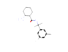 Cc1cc(C(F)(F)F)cc(C(C)(C)NC(=O)C2CCCC[C@@H]2N)c1